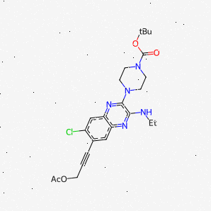 CCNc1nc2cc(C#CCOC(C)=O)c(Cl)cc2nc1N1CCN(C(=O)OC(C)(C)C)CC1